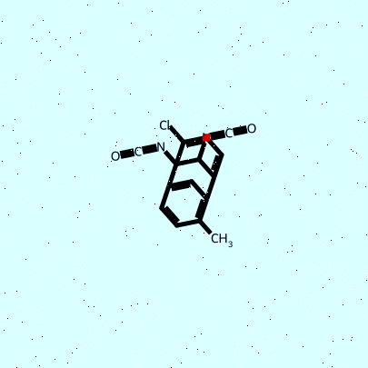 Cc1ccc2cc1C1=CC=C(Cl)C2(N=C=O)C1N=C=O